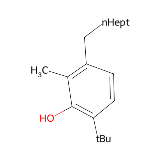 CCCCCCCCc1ccc(C(C)(C)C)c(O)c1C